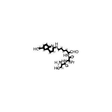 C#Cc1ccc2nc(NCCCCC(C=O)NC(=O)C(CCC)NC(=O)C(N)CO)ccc2c1